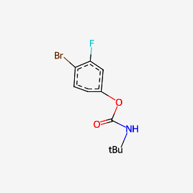 CC(C)(C)NC(=O)Oc1ccc(Br)c(F)c1